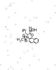 CC(C)CC(C(=O)NO)N(c1ccc2ccccc2c1)S(C)(=O)=O